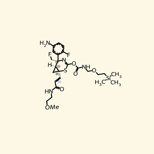 COCCNC(=O)/C=C/[C@]12C[C@H]1[C@@](CF)(c1cc(N)ccc1F)N=C(OC(=O)NCOCC[Si](C)(C)C)S2